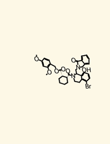 COc1ccc(COC(=O)[C@H]2CCCC[C@H]2C(=O)N2CCc3c(Br)ccc(O)c3C2CN2Cc3ccccc3C2=O)c(OC)c1